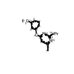 Cc1cc(Oc2cccc(C(F)(F)F)c2)nc(C(C)C)n1